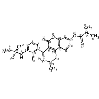 CNS(=O)(=O)Nc1cccc(Cc2c(CN(C)C)c3ccc(OC(=S)N(C)C)cc3oc2=O)c1F